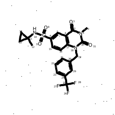 Cn1c(=O)c2cc(S(=O)(=O)NC3(C)CC3)ccc2n(Cc2cccc(C(F)(F)F)c2)c1=O